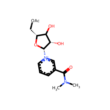 CC(=O)OC[C@H]1O[C@@H]([n+]2cccc(C(=O)N(C)C)c2)[C@@H](O)C1O